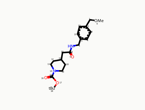 COCc1ccc(CNC(=O)CC2CCN(C(=O)OC(C)(C)C)CC2)cc1